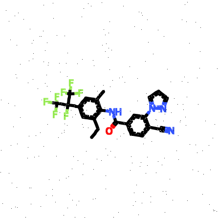 CCc1cc(C(F)(C(F)(F)F)C(F)(F)F)cc(C)c1NC(=O)c1ccc(C#N)c(-n2cccn2)c1